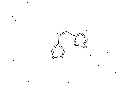 C(=C/c1cc[nH]n1)/c1ccoc1